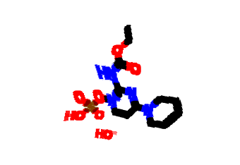 CCOC(=O)Nc1nc(N2CC=CCC2)cc[n+]1OS(=O)(=O)O.[OH-]